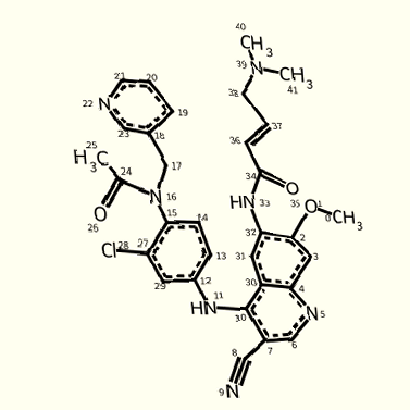 COc1cc2ncc(C#N)c(Nc3ccc(N(Cc4cccnc4)C(C)=O)c(Cl)c3)c2cc1NC(=O)C=CCN(C)C